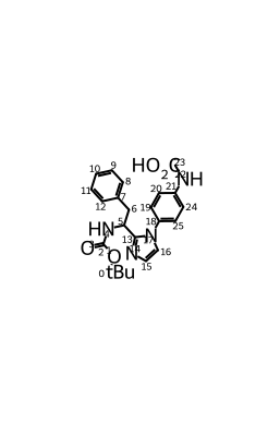 CC(C)(C)OC(=O)NC(Cc1ccccc1)c1nccn1-c1ccc(NC(=O)O)cc1